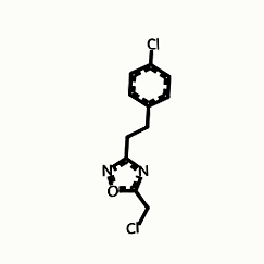 ClCc1nc(CCc2ccc(Cl)cc2)no1